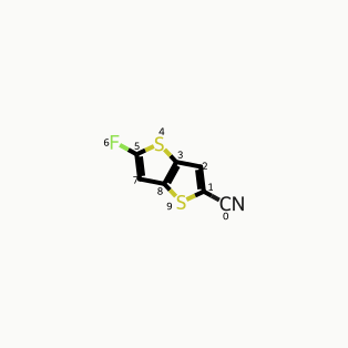 N#Cc1cc2sc(F)cc2s1